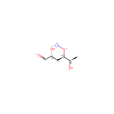 C[C@@H](O)[C@@H](C[C@@H](O)C=O)ON